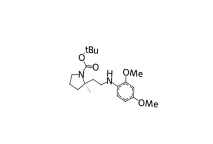 COc1ccc(NCC[C@@]2(C)CCCN2C(=O)OC(C)(C)C)c(OC)c1